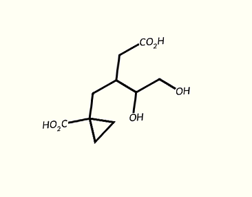 O=C(O)CC(CC1(C(=O)O)CC1)C(O)CO